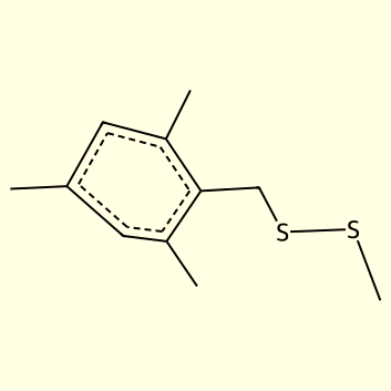 CSSCc1c(C)cc(C)cc1C